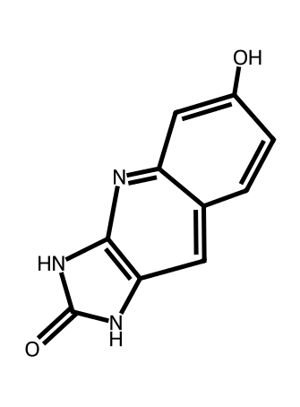 O=c1[nH]c2cc3ccc(O)cc3nc2[nH]1